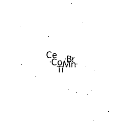 [Br].[Ce].[Co].[Mn].[Ti]